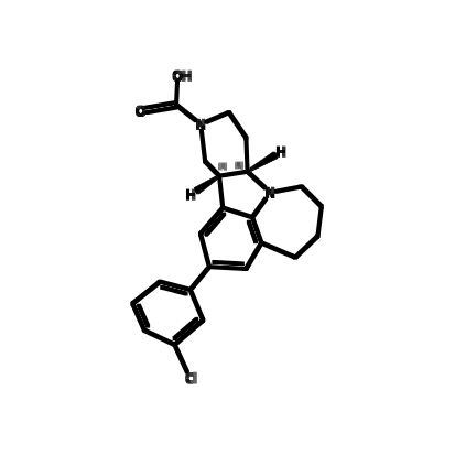 O=C(O)N1CC[C@H]2[C@@H](C1)c1cc(-c3cccc(Cl)c3)cc3c1N2CCCC3